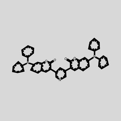 O=c1oc2cc(N(c3ccccc3)c3ccccc3)ccc2cc1-c1cncc(-c2cc3ccc(N(c4ccccc4)c4ccccc4)cc3oc2=O)c1